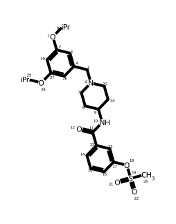 CC(C)Oc1cc(CN2CCC(NC(=O)c3cccc(OS(C)(=O)=O)c3)CC2)cc(OC(C)C)c1